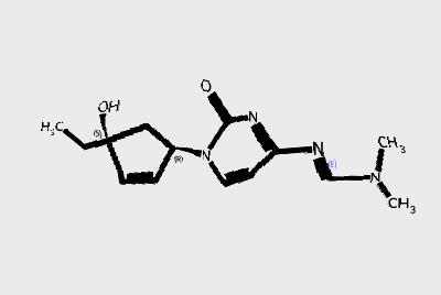 CC[C@@]1(O)C=C[C@H](n2ccc(/N=C/N(C)C)nc2=O)C1